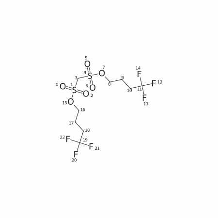 O=S(=O)(CS(=O)(=O)OCCCC(F)(F)F)OCCCC(F)(F)F